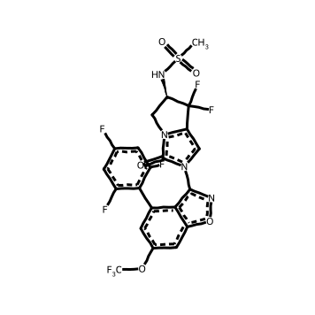 CS(=O)(=O)N[C@@H]1Cn2c(cn(-c3noc4cc(OC(F)(F)F)cc(-c5c(F)cc(F)cc5F)c34)c2=O)C1(F)F